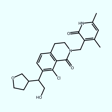 Cc1cc(C)c(CN2CCc3ccc(C(CO)C4CCOC4)c(Cl)c3C2=O)c(=O)[nH]1